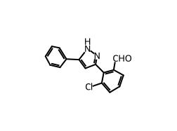 O=Cc1cccc(Cl)c1-c1cc(-c2ccccc2)[nH]n1